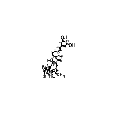 CC(C)(O)CCCC(CC#CC(O)(C(F)(F)F)C(F)(F)F)[C@H]1CCC2/C(=C/C=C3/CC(O)C[C@H](O)C3)CCC[C@@]21C